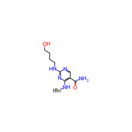 CC(C)(C)Nc1nc(NCCCCO)ncc1C(N)=O